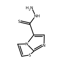 NNC(=S)c1cnc2sccn12